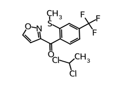 CC(Cl)Cl.CSc1cc(C(F)(F)F)ccc1C(=O)c1ccon1